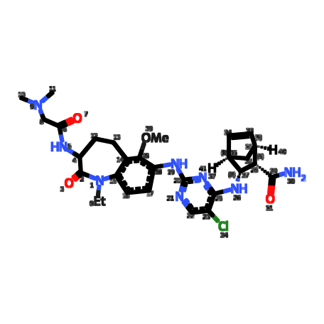 CCN1C(=O)C(NC(=O)CN(C)C)CCc2c1ccc(Nc1ncc(Cl)c(N[C@H]3[C@@H](C(N)=O)[C@@H]4C=C[C@H]3C4)n1)c2OC